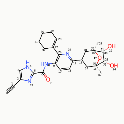 C#Cc1c[nH]c(C(=O)Nc2ccc(C3C[C@@]4(C)O[C@@](C)(C3)[C@H](O)[C@@H]4O)nc2C2=CCCCC2)n1